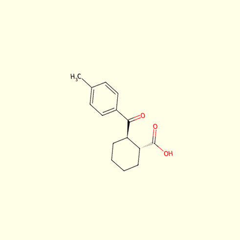 Cc1ccc(C(=O)[C@@H]2CCCC[C@H]2C(=O)O)cc1